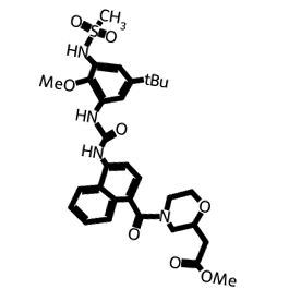 COC(=O)CC1CN(C(=O)c2ccc(NC(=O)Nc3cc(C(C)(C)C)cc(NS(C)(=O)=O)c3OC)c3ccccc23)CCO1